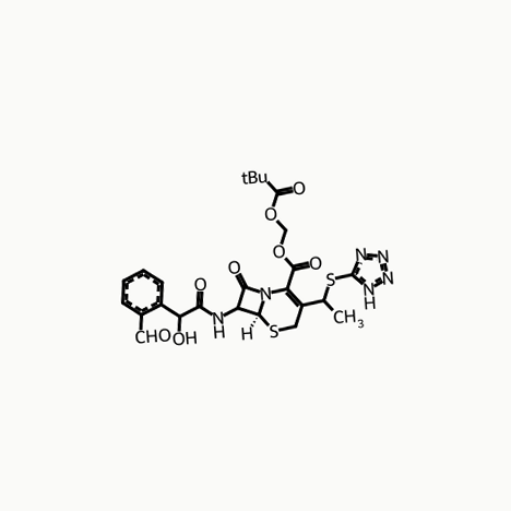 CC(Sc1nnn[nH]1)C1=C(C(=O)OCOC(=O)C(C)(C)C)N2C(=O)C(NC(=O)C(O)c3ccccc3C=O)[C@@H]2SC1